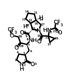 O=C1NCC[C@H]1C[C@H](NC(=O)[C@@H]1[C@H]2CCC[C@H]2CN1C(=O)C1(NC(=O)C(F)(F)F)CC1)C(=O)COC(F)(F)F